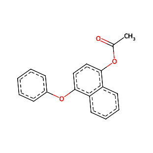 CC(=O)Oc1ccc(Oc2ccccc2)c2ccccc12